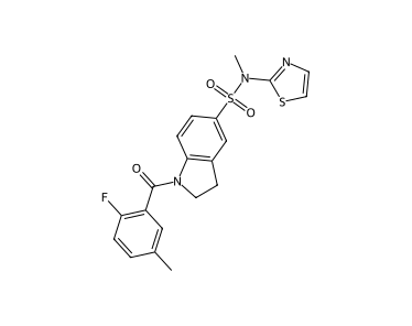 Cc1ccc(F)c(C(=O)N2CCc3cc(S(=O)(=O)N(C)c4nccs4)ccc32)c1